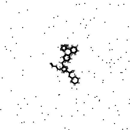 C=CCCn1nc(C(=O)CC2CCCCC2)nc1Cc1ccc(-c2ccccc2-c2nnn[nH]2)cc1